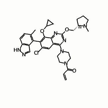 C=CC(=O)N1CCN(c2nc(OC[C@@H]3CCCN3C)nc3c(OC4CC4)c(-c4c(C)ccc5[nH]ncc45)c(Cl)cc23)CC1